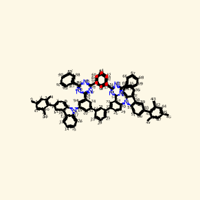 Cc1cc(C)c(-c2ccc3c(c2)c2ccccc2n3-c2cc(-c3cccc(-c4ccc(-n5c6ccccc6c6cc(-c7c(C)cc(C)cc7C)ccc65)c(-c5nc(-c6ccccc6)nc(-c6ccccc6)n5)c4)c3)cc(-c3nc(-c4ccccc4)nc(-c4ccccc4)n3)c2)c(C)c1